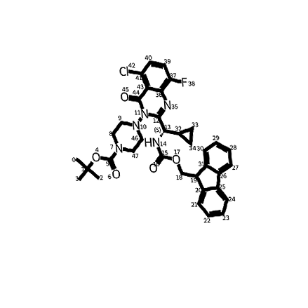 CC(C)(C)OC(=O)N1CCN(n2c([C@@H](NC(=O)OCC3c4ccccc4-c4ccccc43)C3CC3)nc3c(F)ccc(Cl)c3c2=O)CC1